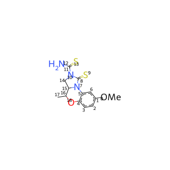 COc1ccc2c(c1)N1C(=S)N(C(N)=S)CC1C(C)O2